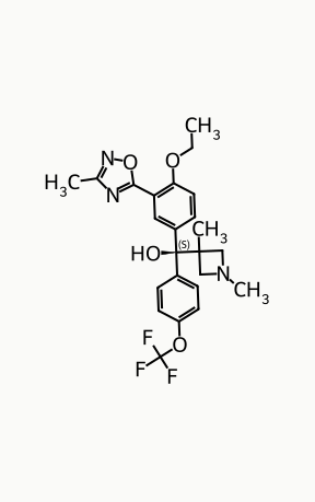 CCOc1ccc([C@@](O)(c2ccc(OC(F)(F)F)cc2)C2(C)CN(C)C2)cc1-c1nc(C)no1